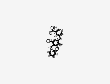 O=C(O)c1cncc(Cc2cc(Cl)c(Cn3ccccc3=O)cc2F)c1